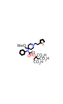 CCC(=O)N(c1ccccc1)C1(COC)CCN(CCc2cccs2)CC1.O=C(O)CC(O)(CC(=O)O)C(=O)O